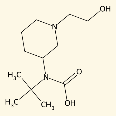 CC(C)(C)N(C(=O)O)C1CCCN(CCO)C1